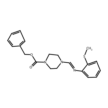 CSc1ccccc1N=CN1CCN(C(=O)OCc2ccccc2)CC1